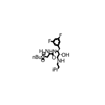 CCCCS(=O)(=O)C[C@@H](N)C(=O)N[C@@H](Cc1cc(F)cc(F)c1)[C@H](O)CNCCC(C)C